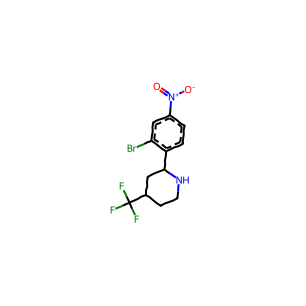 O=[N+]([O-])c1ccc(C2CC(C(F)(F)F)CCN2)c(Br)c1